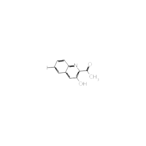 CC(=O)c1nc2ccc(I)cc2cc1O